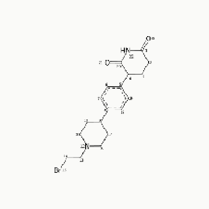 O=C1CCC(c2ccc(C3CCN(CCBr)CC3)cc2)C(=O)N1